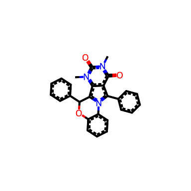 Cn1c(=O)c2c(-c3ccccc3)n3c(c2n(C)c1=O)C(c1ccccc1)Oc1ccccc1-3